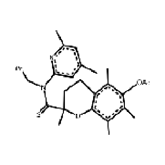 CC(=O)Oc1c(C)c(C)c2c(c1C)CCC(C)(C(=S)N(CC(C)C)c1cc(C)cc(C)n1)O2